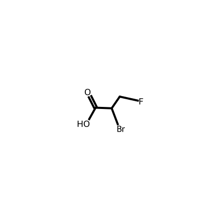 O=C(O)C(Br)CF